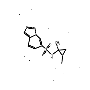 CC1(NS(=O)(=O)c2ccc3cncn3c2)CC1F